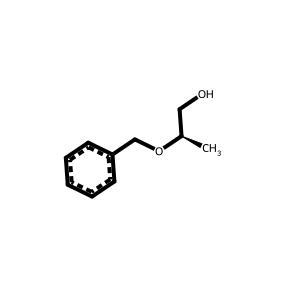 C[C@H](CO)OCc1ccccc1